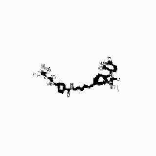 Cn1c(=O)n(C2CCC(=O)NC2=O)c2ccc(CCCCCNC(=O)c3ccc(NC(=O)OC(C)(C)C)cc3)cc21